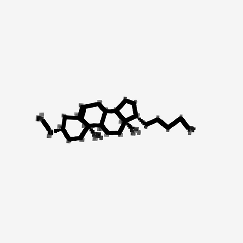 CC(C)CCCC[C@H]1CCC2C3CC=C4C[C@@H](OC(C)C)CC[C@]4(C)C3CC[C@@]21C